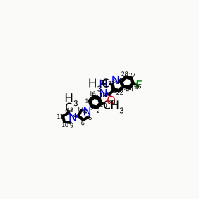 Cc1cc(N2CCC(N3CCCC3C)C2)ccc1NC(=O)c1cc2cc(F)ccc2nc1C